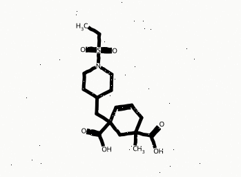 CCS(=O)(=O)N1CCC(CC2(C(=O)O)C=CCC(C)(C(=O)O)C2)CC1